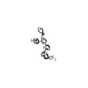 FC(F)(F)c1ccc2ncc(-c3nccc(N4CCN(C[C@@H]5CC56CCOCC6)[C@@H](c5cn[nH]c5)C4)n3)n2c1